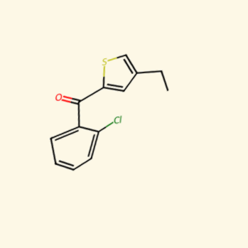 CCc1csc(C(=O)c2ccccc2Cl)c1